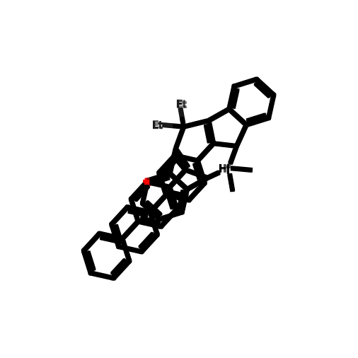 CCC1(CC)C2=C(c3ccc(-c4ccccc4)cc3)[CH](c3ccccc32)[Hf]([CH3])([CH3])[CH]2C(c3ccc(-c4ccccc4)cc3)=C1c1ccccc12